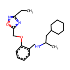 CCc1noc(COc2ccccc2CNC(C)CC2CCCCC2)n1